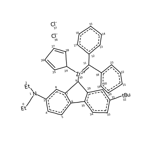 CCN(CC)c1ccc2c(c1)[CH]([Zr+2](=[C](c1ccccc1)c1ccccc1)[CH]1C=CC=C1)c1cc(C(C)(C)C)ccc1-2.[Cl-].[Cl-]